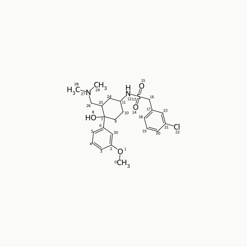 COc1cccc(C2(O)CCC(NS(=O)(=O)Cc3cccc(Cl)c3)CC2CN(C)C)c1